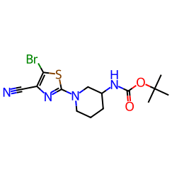 CC(C)(C)OC(=O)NC1CCCN(c2nc(C#N)c(Br)s2)C1